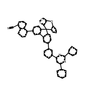 N#Cc1cccc2c(-c3ccc4c(c3)-c3cc(-c5cccc(-c6cc(-c7ccccc7)nc(-c7ccccc7)n6)c5)ccc3C43c4ccccc4Oc4ccccc43)cccc12